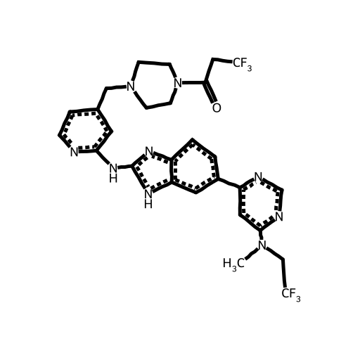 CN(CC(F)(F)F)c1cc(-c2ccc3nc(Nc4cc(CN5CCN(C(=O)CC(F)(F)F)CC5)ccn4)[nH]c3c2)ncn1